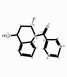 C[C@H]1CC(C(=O)O)c2ccccc2N1C(=O)c1cncnc1